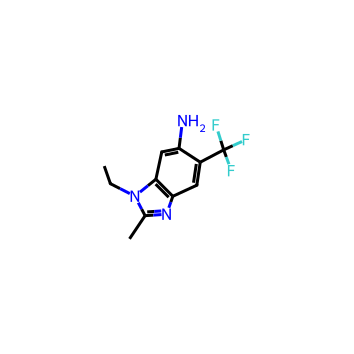 CCn1c(C)nc2cc(C(F)(F)F)c(N)cc21